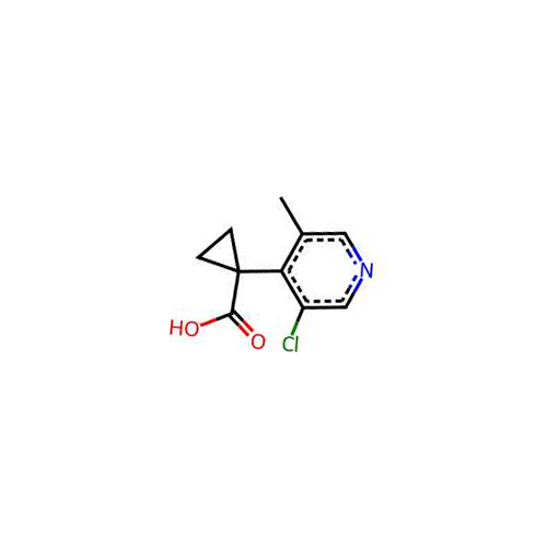 Cc1cncc(Cl)c1C1(C(=O)O)CC1